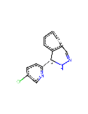 Clc1ccc([C@H]2NN=Cc3ccccc32)nc1